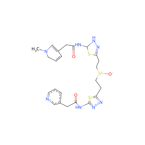 CN1C=C(CC(=O)NC2NN=C(CC[S+]([O-])CCc3nnc(NC(=O)Cc4cccnc4)s3)S2)C=CC1